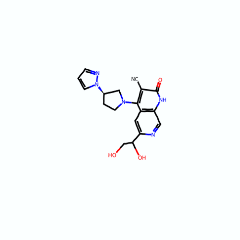 N#Cc1c(N2CC[C@@H](n3cccn3)C2)c2cc(C(O)CO)ncc2[nH]c1=O